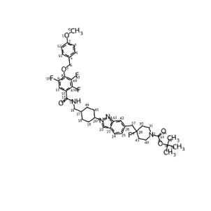 COc1ccc(COc2c(F)cc(C(=O)NCC3CCC(n4cc5ccc(CC6(F)CCN(C(=O)OC(C)(C)C)CC6)cc5n4)CC3)c(F)c2F)cc1